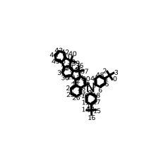 CC(C)(C)c1ccc(N(c2ccc(C(C)(C)C)cc2)c2cc3c(c4ccccc24)-c2ccc4c(c2C3(C)C)C(C)(C)c2ccccc2-4)cc1